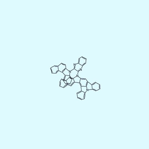 c1ccc2cc3c(cc2c1)c1c2c4ccccc4n4c5ccccc5c(cc1n3-c1nc3ccccc3nc1-n1c3ccccc3c3c5ccccc5ccc31)c24